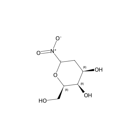 O=[N+]([O-])[C]1C[C@@H](O)[C@@H](O)[C@@H](CO)O1